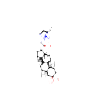 CC(=O)c1ccn(CC(=O)[C@H]2CC[C@H]3[C@@H]4CC[C@H]5C[C@](C)(O)CC[C@@H]5[C@H]4CC[C@]23C)n1